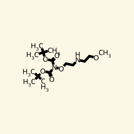 COCCNCCON(C(=O)OC(C)(C)C)C(=O)OC(C)(C)C